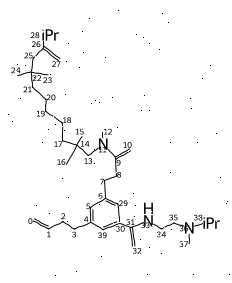 C=CCCc1cc(CCC(=C)N(C)CC(C)(C)CCCCCC(C)(C)CC(=C)C(C)C)cc(C(=C)NCCN(C)C(C)C)c1